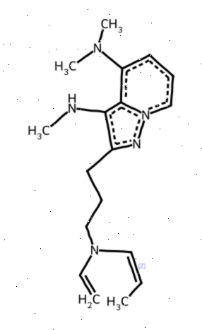 C=CN(/C=C\C)CCCc1nn2cccc(N(C)C)c2c1NC